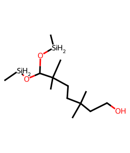 C[SiH2]OC(O[SiH2]C)C(C)(C)CCC(C)(C)CCO